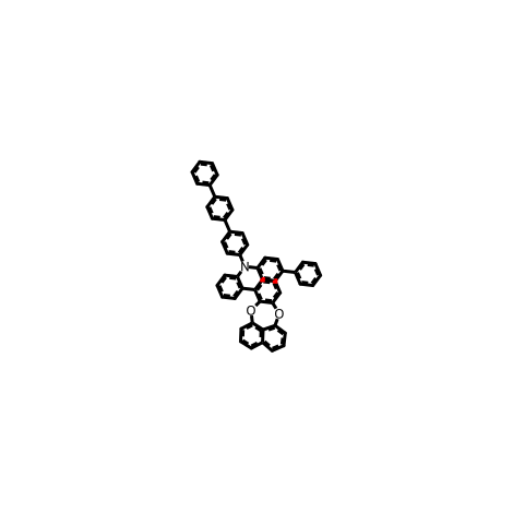 c1ccc(-c2ccc(-c3ccc(N(c4ccc(-c5ccccc5)cc4)c4ccccc4-c4cccc5c4Oc4cccc6cccc(c46)O5)cc3)cc2)cc1